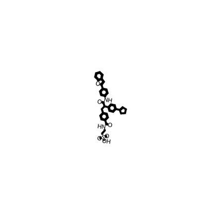 O=C(NCCS(=O)(=O)O)c1ccc(CC(C(=O)Nc2ccc(-c3cc4ccccc4o3)cc2)c2ccc(C3=CCCC3)cc2)cc1